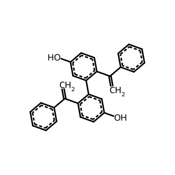 C=C(c1ccccc1)c1ccc(O)cc1-c1cc(O)ccc1C(=C)c1ccccc1